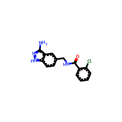 Nc1n[nH]c2ccc(CNC(=O)c3ccccc3Cl)cc12